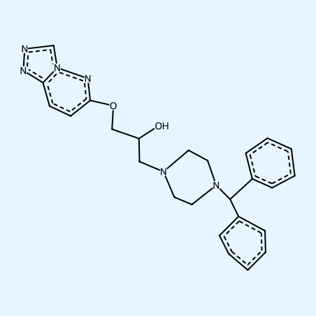 OC(COc1ccc2nncn2n1)CN1CCN(C(c2ccccc2)c2ccccc2)CC1